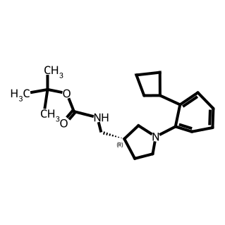 CC(C)(C)OC(=O)NC[C@H]1CCN(c2ccccc2C2CCC2)C1